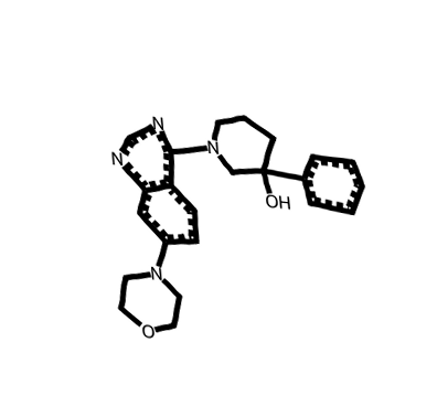 OC1(c2ccccc2)CCCN(c2ncnc3cc(N4CCOCC4)ccc23)C1